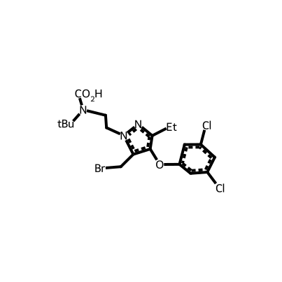 CCc1nn(CCN(C(=O)O)C(C)(C)C)c(CBr)c1Oc1cc(Cl)cc(Cl)c1